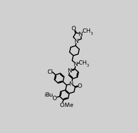 CCC(C)Oc1cc2c(cc1OC)CC(=O)N(c1ccc(N(C)CC3CCC(N4CC(=O)N(C)C4)CC3)nc1)C2c1ccc(Cl)cc1